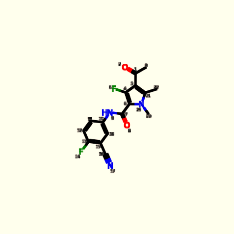 CC(=O)c1c(F)c(C(=O)Nc2ccc(F)c(C#N)c2)n(C)c1C